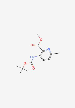 COC(=O)c1nc(C)ccc1NC(=O)OC(C)(C)C